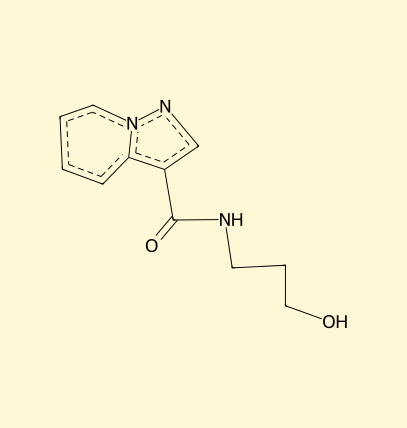 O=C(NCCCO)c1cnn2ccccc12